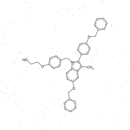 Cc1c(-c2ccc(OCc3ccccc3)cc2)n(Cc2ccc(OCCO)cc2)c2ccc(OCc3ccccc3)cc12